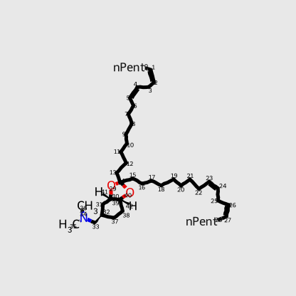 CCCCC/C=C\C/C=C\CCCCCCCCC1(CCCCCCCC/C=C\C/C=C\CCCCC)O[C@H]2C[C@H](CN(C)C)CC[C@H]2O1